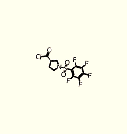 O=C(Cl)[C@@H]1CCN(S(=O)(=O)c2c(F)c(F)c(F)c(F)c2F)C1